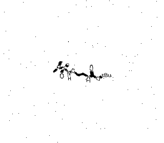 CN(C)S(=O)(=O)NOCCNC(=O)OC(C)(C)C